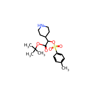 Cc1ccc(S(=O)(=O)OC(C(=O)OC(C)(C)C)C2CCNCC2)cc1